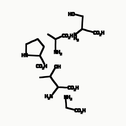 CC(N)C(=O)O.CC(O)C(N)C(=O)O.NC(CO)C(=O)O.NCC(=O)O.O=C(O)C1CCCN1